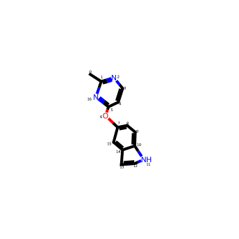 Cc1nccc(Oc2ccc3[nH]ccc3c2)n1